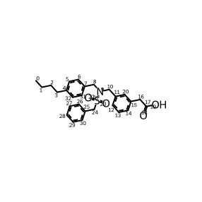 CCCCc1ccc(CN(Cc2cccc(CC(=O)O)c2)S(=O)(=O)Cc2ccccc2)cc1